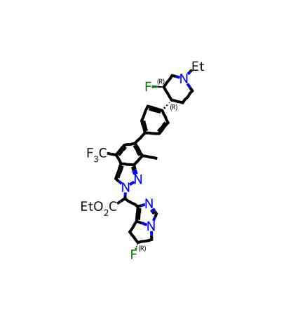 CCOC(=O)C(c1ncn2c1C[C@@H](F)C2)n1cc2c(C(F)(F)F)cc(-c3ccc([C@H]4CCN(CC)C[C@@H]4F)cc3)c(C)c2n1